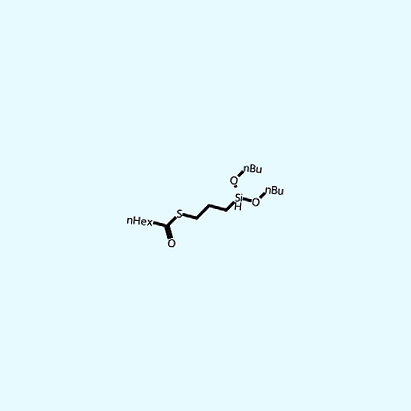 CCCCCCC(=O)SCCC[SiH](OCCCC)OCCCC